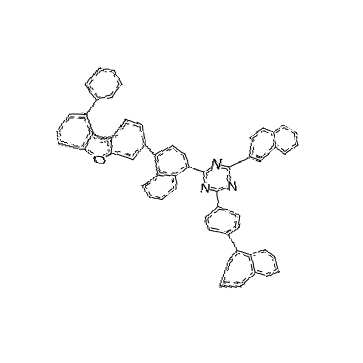 c1ccc(-c2cccc3oc4cc(-c5ccc(-c6nc(-c7ccc(-c8cccc9ccccc89)cc7)nc(-c7ccc8ccccc8c7)n6)c6ccccc56)ccc4c23)cc1